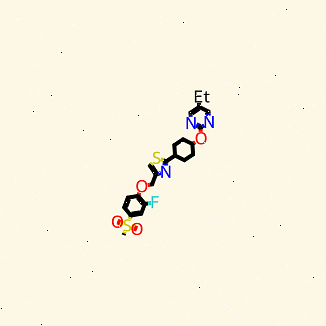 CCc1cnc(OC2CCC(c3nc(COc4ccc(S(C)(=O)=O)cc4F)cs3)CC2)nc1